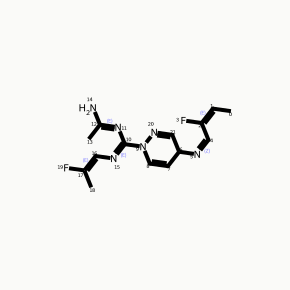 C/C=C(F)\C=N/C1C=CN(C(/N=C(\C)N)=N/C=C(\C)F)N=C1